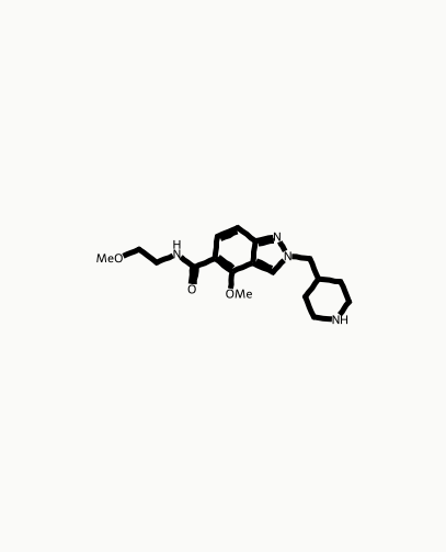 COCCNC(=O)c1ccc2nn(CC3CCNCC3)cc2c1OC